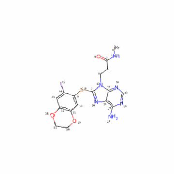 CC(C)NC(=O)CCn1c(Sc2cc3c(cc2I)OCCO3)nc2c(N)ncnc21